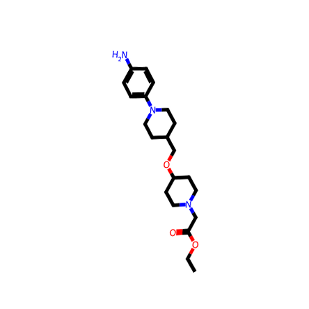 CCOC(=O)CN1CCC(OCC2CCN(c3ccc(N)cc3)CC2)CC1